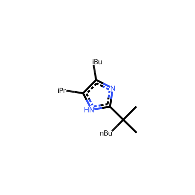 CCCCC(C)(C)c1nc(C(C)CC)c(C(C)C)[nH]1